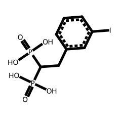 O=P(O)(O)C(Cc1cccc(I)c1)P(=O)(O)O